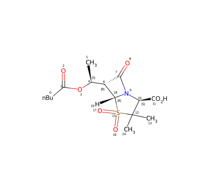 CCCCC(=O)O[C@@H](C)[C@@H]1C(=O)N2[C@@H](C(=O)O)C(C)(C)S(=O)(=O)[C@H]12